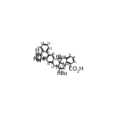 CCCCc1cn(-c2c(C(=O)O)cccc2C(C)(C)C)c(=O)n1Cc1ccc(-c2ccccc2-c2nnn[nH]2)nc1